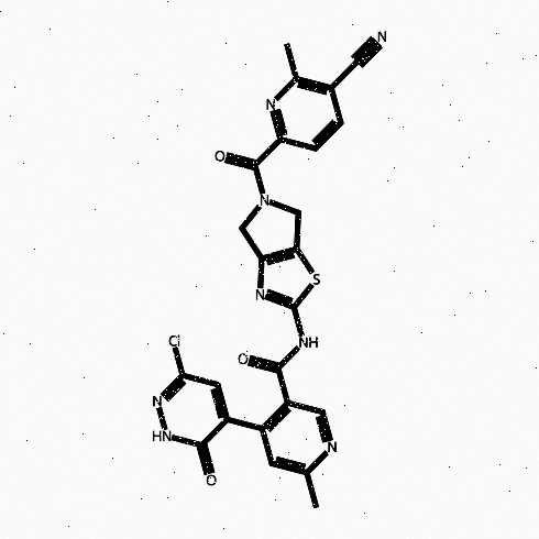 Cc1cc(-c2cc(Cl)n[nH]c2=O)c(C(=O)Nc2nc3c(s2)CN(C(=O)c2ccc(C#N)c(C)n2)C3)cn1